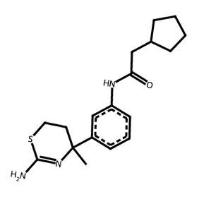 CC1(c2cccc(NC(=O)CC3CCCC3)c2)CCSC(N)=N1